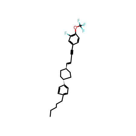 CCCCCc1ccc([C@H]2CC[C@H](C=CC#Cc3ccc(OC(F)(F)F)c(F)c3)CC2)cc1